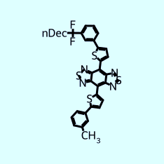 CCCCCCCCCCC(F)(F)c1cccc(-c2ccc(-c3c4c(c(-c5ccc(-c6cccc(C)c6)s5)c5nsnc35)N=S=N4)s2)c1